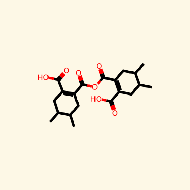 CC1CC(C(=O)O)=C(C(=O)OC(=O)C2=C(C(=O)O)CC(C)C(C)C2)CC1C